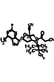 C#C[C@]1(COC(=O)CC)O[C@@H](n2cnc3c(N)nc(F)nc32)CC1O[Si](C)(C)C(C)(C)C